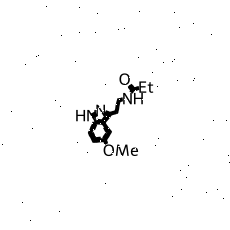 CCC(=O)NCCc1n[nH]c2ccc(OC)cc12